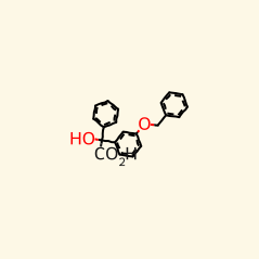 O=C(O)C(O)(c1ccccc1)c1cccc(OCc2ccccc2)c1